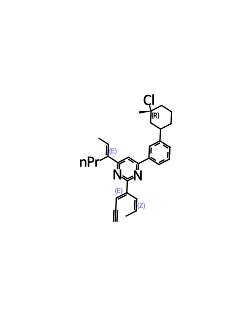 C#C/C=C(\C=C/C)c1nc(/C(=C/C)CCC)cc(-c2cccc(C3CCC[C@@](C)(Cl)C3)c2)n1